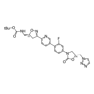 CC(C)(C)OC(=O)NC[C@@H]1CC(c2ccc(-c3ccc(N4C[C@H](Cn5ccnn5)OC4=O)cc3F)cn2)=NO1